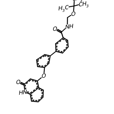 CC(C)(C)OCNC(=O)c1cccc(-c2cccc(Oc3cc(=O)[nH]c4ccccc34)c2)c1